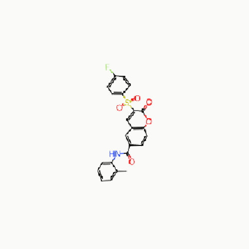 Cc1ccccc1NC(=O)c1ccc2oc(=O)c(S(=O)(=O)c3ccc(F)cc3)cc2c1